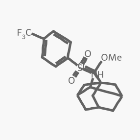 COC(=O)C12CC3CC(C1)C(NS(=O)(=O)c1ccc(C(F)(F)F)cc1)C(C3)C2